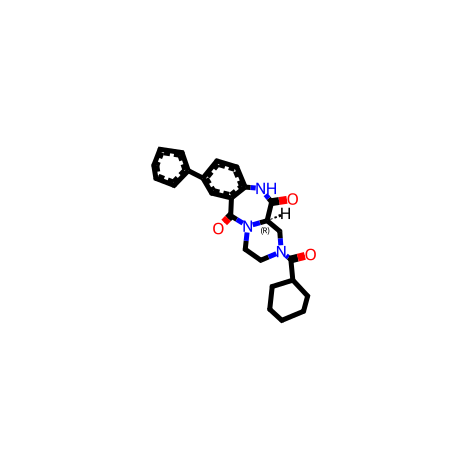 O=C1Nc2ccc(-c3ccccc3)cc2C(=O)N2CCN(C(=O)C3CCCCC3)C[C@H]12